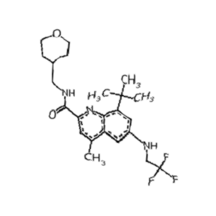 Cc1cc(C(=O)NCC2CCOCC2)nc2c(C(C)(C)C)cc(NCC(F)(F)F)cc12